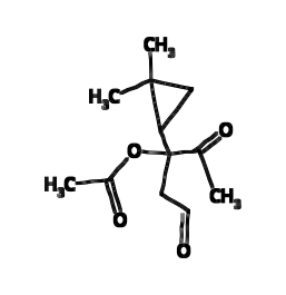 CC(=O)OC(CC=O)(C(C)=O)C1CC1(C)C